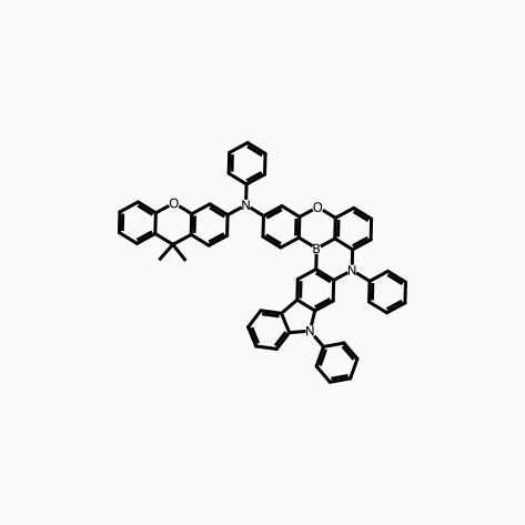 CC1(C)c2ccccc2Oc2cc(N(c3ccccc3)c3ccc4c(c3)Oc3cccc5c3B4c3cc4c6ccccc6n(-c6ccccc6)c4cc3N5c3ccccc3)ccc21